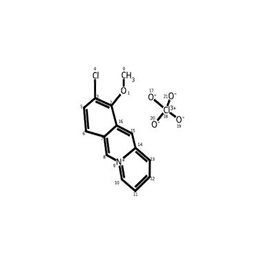 COc1c(Cl)ccc2c[n+]3ccccc3cc12.[O-][Cl+3]([O-])([O-])[O-]